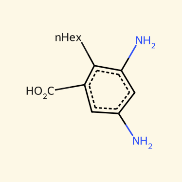 CCCCCCc1c(N)cc(N)cc1C(=O)O